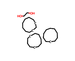 C1CCCCCCCCC1.C1CCCCCCCCC1.C1CCCCCCCCC1.OCCO